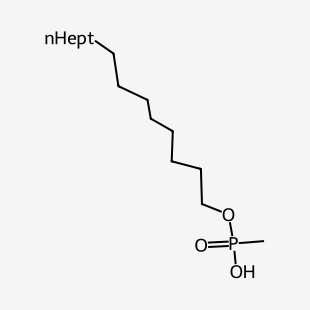 CCCCCCCCCCCCCCCOP(C)(=O)O